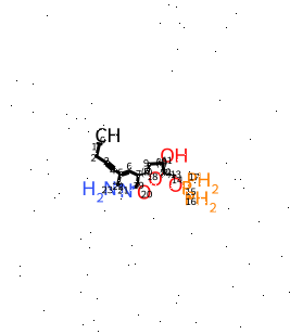 C#CCC#CC1=CC([C@H]2C[C@@H](O)[C@@H](COP(P)P)O2)C(=O)N=C1N